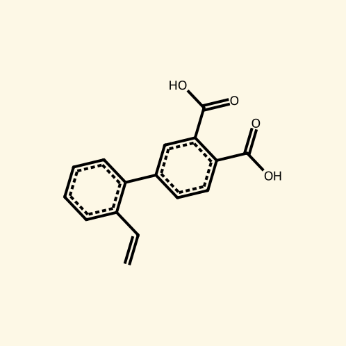 C=Cc1ccccc1-c1ccc(C(=O)O)c(C(=O)O)c1